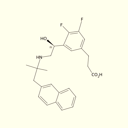 CC(C)(Cc1ccc2ccccc2c1)NC[C@@H](O)c1cc(CCC(=O)O)cc(F)c1F